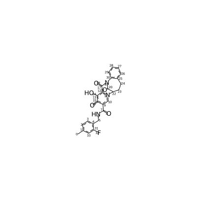 Cc1ccc(CNC(=O)c2cn3c(c(O)c2=O)C(=O)N2C(=O)C3CCc3ccccc32)c(F)c1